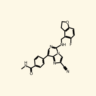 CNC(=O)c1ccc(-c2cnc(NCc3c(F)ccc4c3CCO4)n3cc(C#N)nc23)cc1